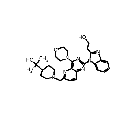 CC(C)(O)C1CCN(Cc2ccc3nc(-n4c(CCO)nc5ccccc54)nc(N4CCOCC4)c3n2)CC1